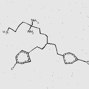 NCCCC(N)(N)CCCC(CCc1ccc(Cl)cc1)CCc1ccc(Cl)cc1